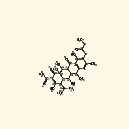 CCC(=O)Cc1c(C)cc2c(c1O)C(=O)C1=C(O)C3(O)C(=O)C(C(N)=O)=C(O)C(N(C)C)C3C(O)C1C2C